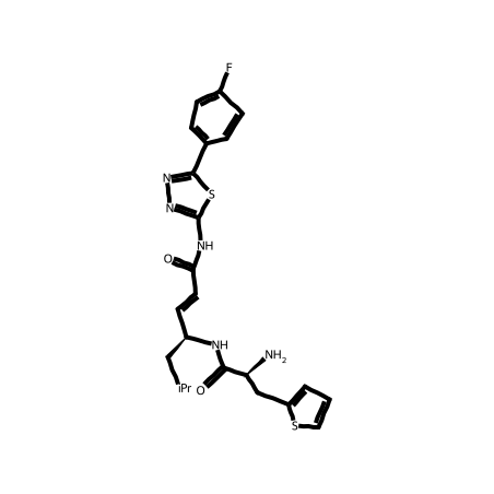 CC(C)C[C@@H](C=CC(=O)Nc1nnc(-c2ccc(F)cc2)s1)NC(=O)[C@@H](N)Cc1cccs1